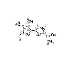 CC[C@@H]1O[C@H](n2cnc(C(N)=O)n2)[C@@H](O)[C@H]1O